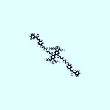 O=C(/C=C/c1ccc(OCCCCCCOc2cc(C(=O)O)c(C(=O)O)cc2-c2cc(C(=O)O)c(C(=O)O)cc2OCCCCCCOc2ccc(/C=C/C(=O)c3ccccc3)cc2)cc1)c1ccccc1